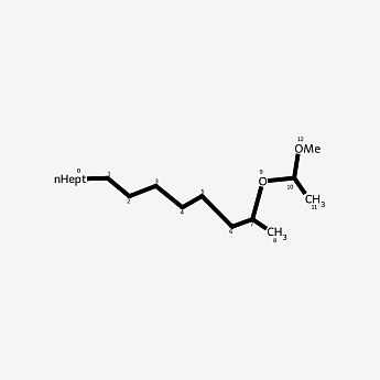 CCCCCCCCCCCCCC(C)OC(C)OC